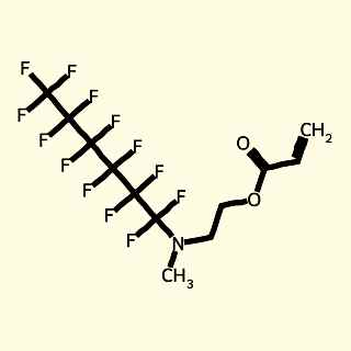 C=CC(=O)OCCN(C)C(F)(F)C(F)(F)C(F)(F)C(F)(F)C(F)(F)C(F)(F)F